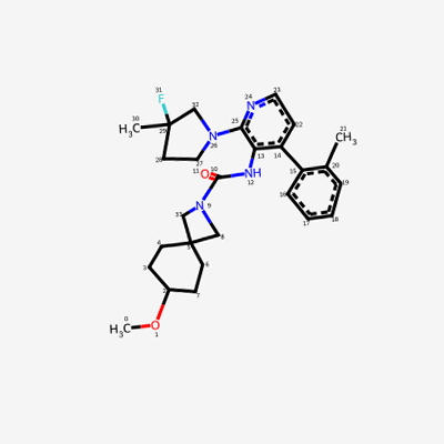 COC1CCC2(CC1)CN(C(=O)Nc1c(-c3ccccc3C)ccnc1N1CCC(C)(F)C1)C2